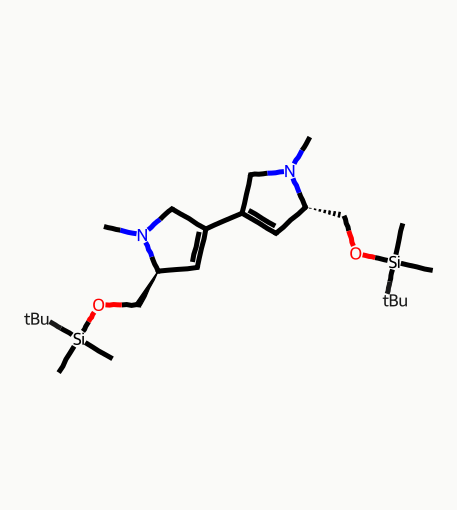 CN1CC(C2=C[C@@H](CO[Si](C)(C)C(C)(C)C)N(C)C2)=C[C@H]1CO[Si](C)(C)C(C)(C)C